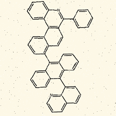 c1ccc(-c2nc3ccccc3c3c2ccc2c(-c4c5ccccc5c(-c5cccc6cccnc56)c5ccccc45)cccc23)cc1